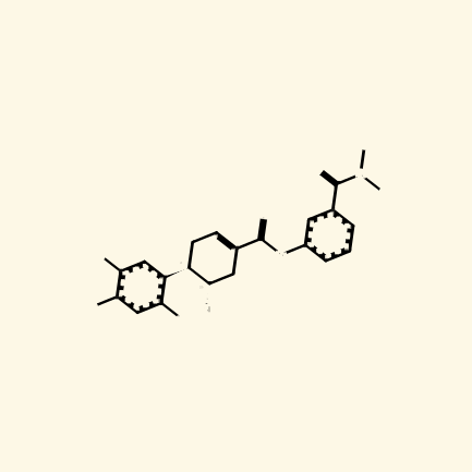 CN(C)C(=O)c1cccc(NC(=O)C2=CC[C@H](c3cc(F)c(F)cc3F)[C@@H](N)C2)c1